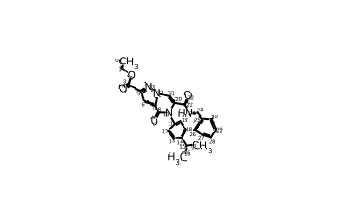 CCOC(=O)c1cc2c(=O)n(-c3ccc(C(C)C)cc3)c(C(=O)NCc3ccccc3)cn2n1